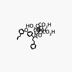 C=CCc1cccc(Oc2ccc(C(CCc3ccccc3)C(C)N(CC(=O)O)C(=O)C3OC(C(=O)O)(C(=O)O)OC3C(=O)O)cc2)c1